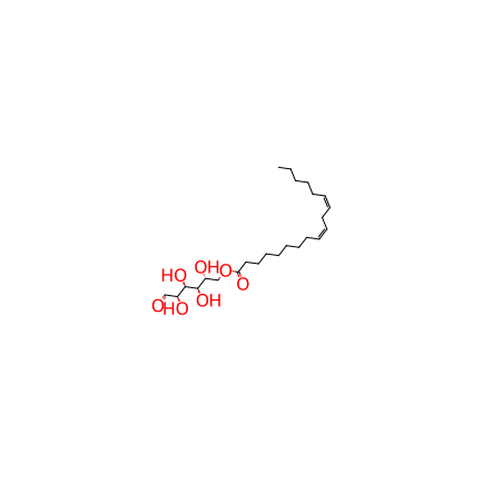 CCCCC/C=C\C/C=C\CCCCCCCC(=O)OC[C@@H](O)[C@@H](O)[C@H](O)[C@@H](O)C=O